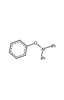 C[CH](C)[Al]([O]c1cc[c]cc1)[CH](C)C